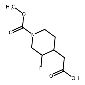 COC(=O)N1CCC(CC(=O)O)C(F)C1